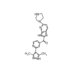 Cc1n[nH]c(C)c1-c1cc(C(=O)c2nc3ccc(N4CCNCC4)nc3[nH]2)ccn1